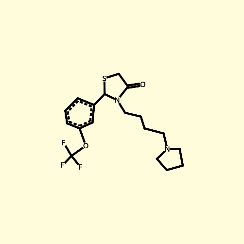 O=C1CSC(c2cccc(OC(F)(F)F)c2)N1CCCCN1CCCC1